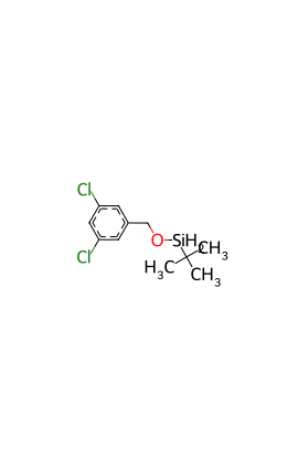 CC(C)(C)[SiH2]OCc1cc(Cl)cc(Cl)c1